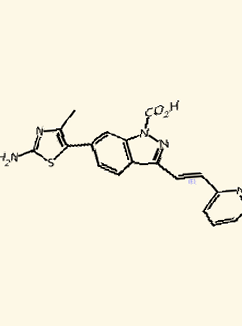 Cc1nc(N)sc1-c1ccc2c(/C=C/c3ccccn3)nn(C(=O)O)c2c1